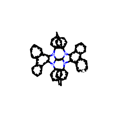 Cc1ccc(N2C(=C3N(c4ccc(C)cc4)c4c(c5ccccc5c5ccccc45)N3c3ccc(C)cc3)N(c3ccc(C)cc3)c3c2c2ccccc2c2ccccc32)cc1